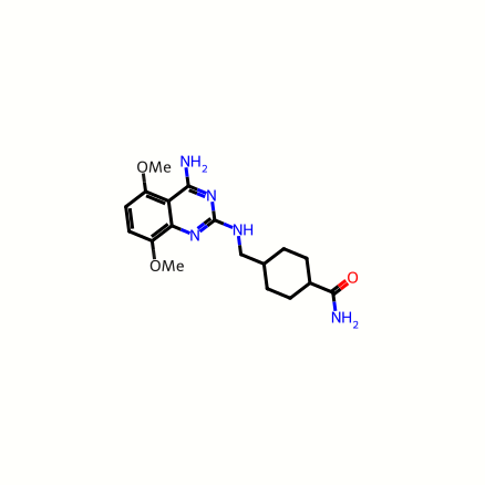 COc1ccc(OC)c2c(N)nc(NCC3CCC(C(N)=O)CC3)nc12